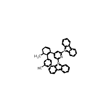 CC1CC=CC(c2cc(-n3c4ccccc4c4ccccc43)nc(-n3c4ccccc4c4ccccc43)c2)=C1c1cccc(C#N)c1